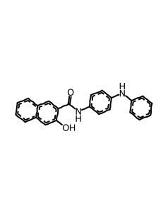 O=C(Nc1ccc(Nc2ccccc2)cc1)c1cc2ccccc2cc1O